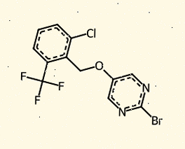 FC(F)(F)c1cccc(Cl)c1COc1cnc(Br)nc1